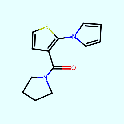 O=C(c1ccsc1-n1cccc1)N1CCCC1